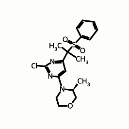 C[C@H]1COCCN1c1cc(C(C)(C)S(=O)(=O)c2ccccc2)nc(Cl)n1